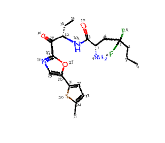 CCCC(F)(F)C[C@H](N)C(=O)N[C@@H](CC)C(=O)c1ncc(-c2ccc(C)s2)o1